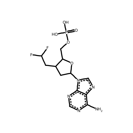 Nc1ncnc2c1ncn2C1CC(CC(F)F)C(COP(=O)(O)O)O1